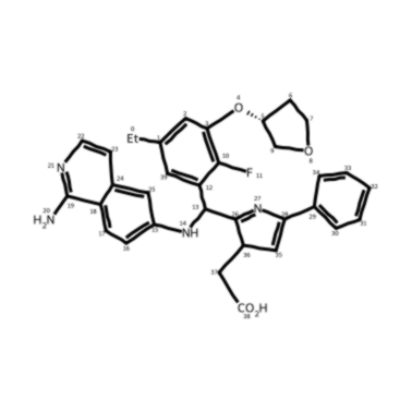 CCc1cc(O[C@@H]2CCOC2)c(F)c(C(Nc2ccc3c(N)nccc3c2)C2=NC(c3ccccc3)=CC2CC(=O)O)c1